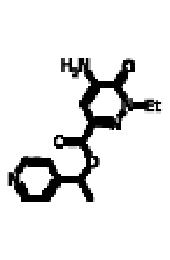 CCn1nc(C(=O)OC(C)c2ccncc2)cc(N)c1=O